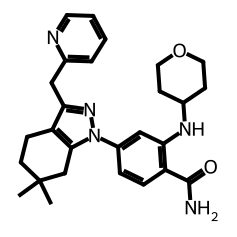 CC1(C)CCc2c(Cc3ccccn3)nn(-c3ccc(C(N)=O)c(NC4CCOCC4)c3)c2C1